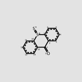 O=C1c2ccccc2S(=S)c2ccccc21